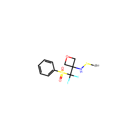 CC(C)(C)SNC1(C(F)(F)S(=O)(=O)c2ccccc2)COC1